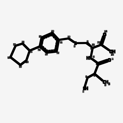 CC(CS)C(=O)N[C@@H](CSCc1ccc(C2CCCCC2)cc1)C(=O)O